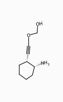 N[C@@H]1CCCC[C@@H]1C#COCO